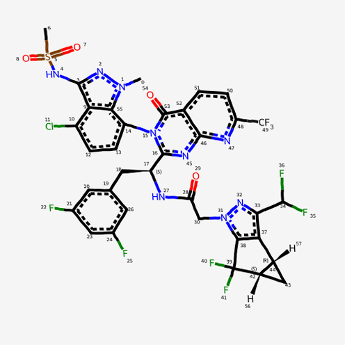 Cn1nc(NS(C)(=O)=O)c2c(Cl)ccc(-n3c([C@H](Cc4cc(F)cc(F)c4)NC(=O)Cn4nc(C(F)F)c5c4C(F)(F)[C@H]4C[C@@H]54)nc4nc(C(F)(F)F)ccc4c3=O)c21